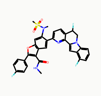 CNC(=O)c1c(-c2ccc(F)cc2)oc2cc(N(C)S(C)(=O)=O)c(-c3ccc4c(n3)-c3cc5c(F)cccc5n3CC4F)cc12